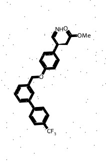 COC(=O)C[C@H](C=N)c1ccc(OCc2cccc(-c3ccc(C(F)(F)F)cc3)c2)cc1